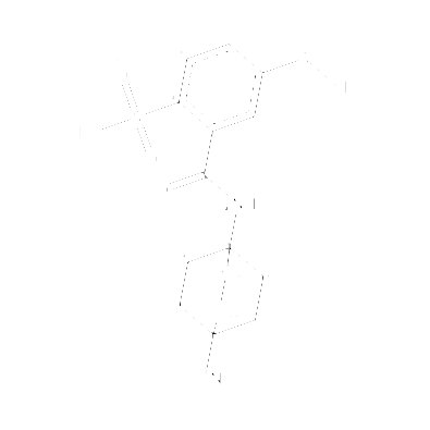 CS(=O)(=O)c1ccc(SC(F)(F)F)cc1C(=O)NC12CCC(C#N)(CC1)CC2